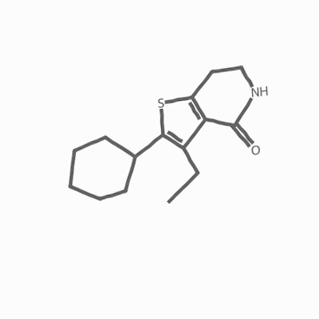 CCc1c(C2CCCCC2)sc2c1C(=O)NCC2